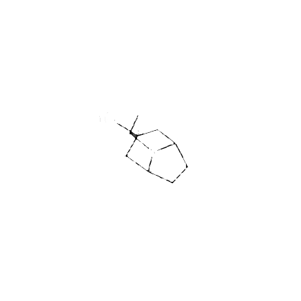 CCN1C2CCC1CC(O)C2